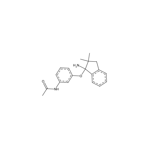 CC(=O)Nc1cccc(OC2(N)c3ccccc3CC2(C)C)c1